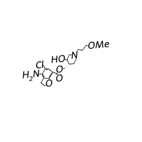 COCCCN1CC[C@H](COC(=O)c2cc(Cl)c(N)c3c2OCC3)[C@@H](O)C1